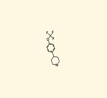 FC(F)(F)Oc1ccc(C2CC[N]CC2)cc1